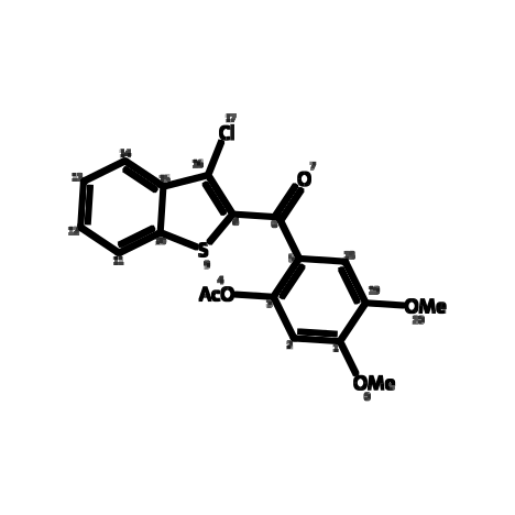 COc1cc(OC(C)=O)c(C(=O)c2sc3ccccc3c2Cl)cc1OC